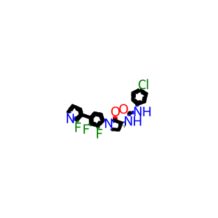 O=C(Nc1ccc(Cl)cc1)N[C@@H]1CCN(c2ccc(-c3cccnc3F)c(F)c2F)C1=O